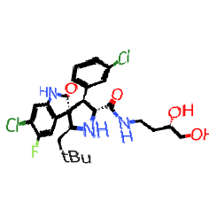 CC(C)(C)C[C@@H]1N[C@@H](C(=O)NCC[C@H](O)CO)[C@H](c2cccc(Cl)c2)[C@@]12C(=O)Nc1cc(Cl)c(F)cc12